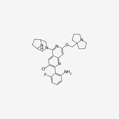 Nc1cccc(F)c1-c1nc2cc(OCC34CCCN3CCC4)nc(N3CC4CCC(C3)N4)c2cc1Cl